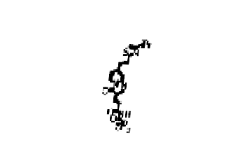 CC(C)c1csc(CCc2ccn3c(=O)c(C=CC(=O)NS(C)(=O)=O)cnc3c2)n1